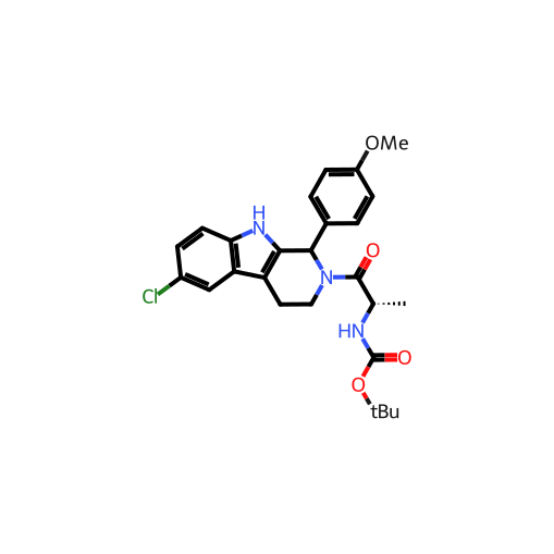 COc1ccc(C2c3[nH]c4ccc(Cl)cc4c3CCN2C(=O)[C@H](C)NC(=O)OC(C)(C)C)cc1